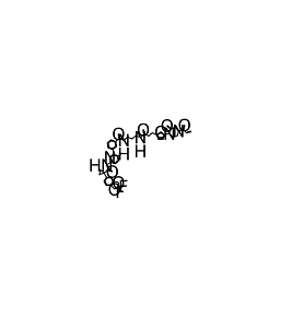 C=CC(=O)N1CCN(c2ccc(CCC(=O)NCCCNC(=O)c3cccc(-c4nc(NC(=O)C5(c6ccc7c(c6)OC(F)(F)O7)CC5)ccc4C)c3)o2)C(=O)C1